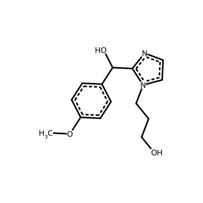 COc1ccc(C(O)c2nccn2CCCO)cc1